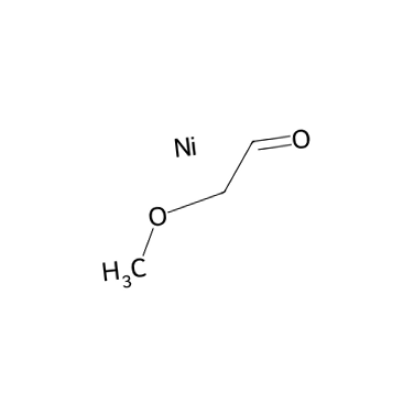 COCC=O.[Ni]